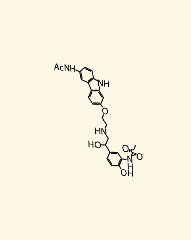 CC(=O)Nc1ccc2[nH]c3cc(OCCNCC(O)c4ccc(O)c(NS(C)(=O)=O)c4)ccc3c2c1